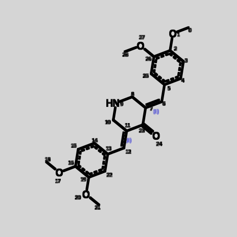 COc1ccc(/C=C2\CNC/C(=C\c3ccc(OC)c(OC)c3)C2=O)cc1OC